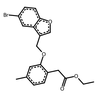 CCOC(=O)Cc1ccc(C)cc1OCc1coc2ccc(Br)cc12